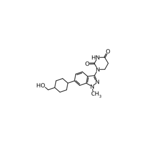 Cn1nc(N2CCC(=O)NC2=O)c2ccc(C3CCC(CO)CC3)cc21